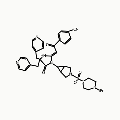 CC(C)N1CCN(S(=O)(=O)N2CC3C(C2)C3N2C(=O)C(Cc3ccncc3)(Cc3ccncc3)NC2=CC(=O)c2ccc(C#N)cc2)CC1